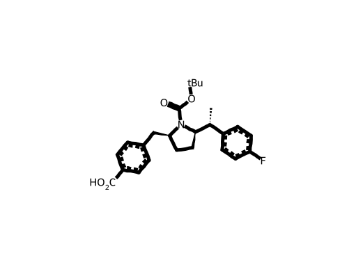 C[C@H](c1ccc(F)cc1)[C@H]1CC[C@@H](Cc2ccc(C(=O)O)cc2)N1C(=O)OC(C)(C)C